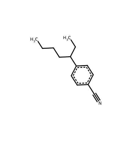 CCCCC(CC)c1ccc(C#N)cc1